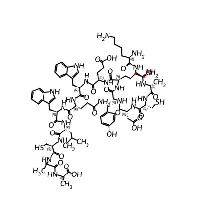 CC(C)C[C@@H](NC(=O)[C@@H](Cc1c[nH]c2ccccc12)NC(=O)[C@@H](CCC(N)=O)NC(=O)[C@@H](Cc1c[nH]c2ccccc12)NC(=O)[C@@H](CCC(=O)O)NC(=O)[C@@H](CCCCN)NC(=O)[C@@H](Cc1ccc(O)cc1)NC(=O)[C@@H](CC(=O)O)NC(=O)[C@@H](CS)NC(=O)[C@@H](C)NC(=O)CNC(=O)[C@H](N)CCCCN)C(=O)N[C@H](CS)C(=O)N[C@H](C)C(=O)N[C@H](C)C(=O)O